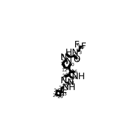 O=C(NCC(F)F)c1cnc2ccc(-c3c[nH]c4nc(NCC5(F)CCC5)ncc34)cn12